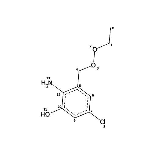 CCOOCc1cc(Cl)cc(O)c1N